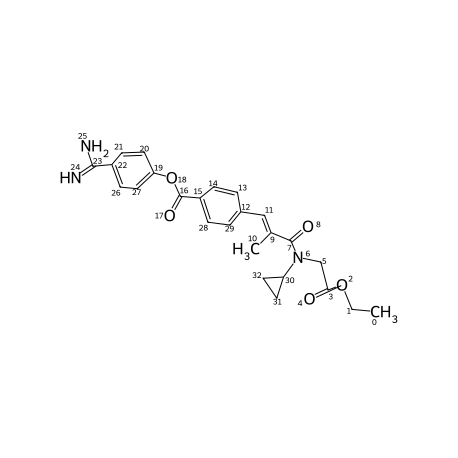 CCOC(=O)CN(C(=O)/C(C)=C/c1ccc(C(=O)Oc2ccc(C(=N)N)cc2)cc1)C1CC1